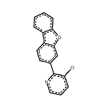 Clc1cccnc1-c1ccc2c(c1)oc1ccccc12